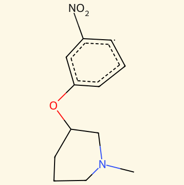 CN1CCCC(Oc2cc[c]c([N+](=O)[O-])c2)C1